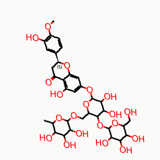 COc1ccc([C@@H]2CC(=O)c3c(O)cc(OC4OC(COC5OC(C)C(O)C(O)C5O)C(OC5OC(CO)C(O)C(O)C5O)C(O)C4O)cc3O2)cc1O